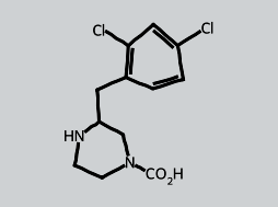 O=C(O)N1CCNC(Cc2ccc(Cl)cc2Cl)C1